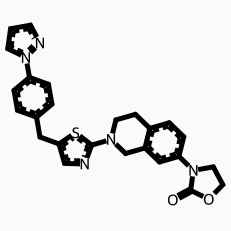 O=C1OCCN1c1ccc2c(c1)CN(c1ncc(Cc3ccc(-n4cccn4)cc3)s1)CC2